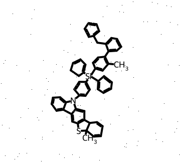 Cc1cc([Si](C2=CC=CCC2)(c2ccccc2)c2ccc(-n3c4ccccc4c4cc5c(cc43)C3C=CC=CC3(C)S5)cc2)ccc1-c1ccccc1Cc1ccccc1